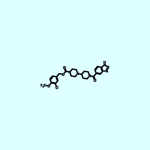 O=C(OCc1ccc(OC(F)(F)F)c(Cl)c1)N1CCN(C2CCN(C(=O)c3ccc4[nH]nnc4c3)CC2)CC1